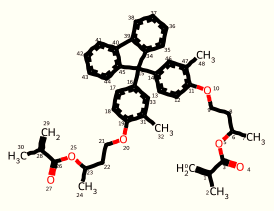 C=C(C)C(=O)OC(C)CCOc1ccc(C2(c3ccc(OCCC(C)OC(=O)C(=C)C)c(C)c3)c3ccccc3-c3ccccc32)cc1C